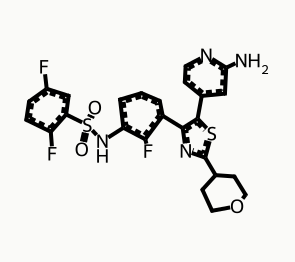 Nc1cc(-c2sc(C3CCOCC3)nc2-c2cccc(NS(=O)(=O)c3cc(F)ccc3F)c2F)ccn1